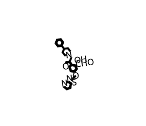 O=CO.c1ccc(C2CCN(Cc3coc4cc(Oc5nc6ncccc6s5)ccc34)CC2)cc1